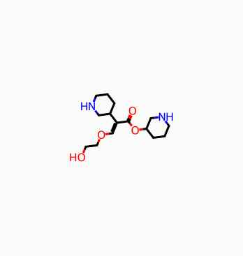 O=C(OC1CCCNC1)C(=COCCO)C1CCCNC1